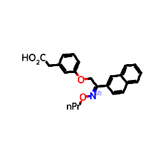 CCCO/N=C(\COc1cccc(CC(=O)O)c1)c1ccc2ccccc2c1